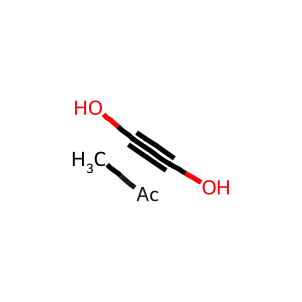 CC(C)=O.OC#CO